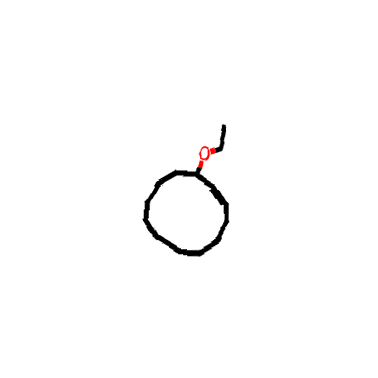 CCOC1C=CCCCCCCCCC1